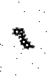 FC(F)(c1ccc2ncc(Br)cc2c1)c1nnc2nccnn12